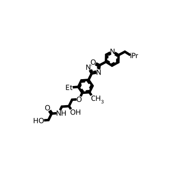 CCc1cc(-c2noc(-c3ccc(CC(C)C)nc3)n2)cc(C)c1OCC(O)CNC(=O)CO